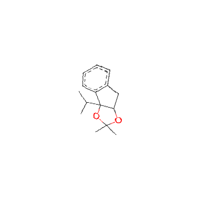 CC(C)C12OC(C)(C)OC1Cc1ccccc12